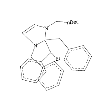 CCCCCCCCCCCN1C=CN(Cc2ccccc2)C1(Cc1ccccc1)C(CC)c1ccccc1